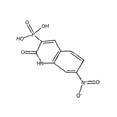 O=c1[nH]c2cc([N+](=O)[O-])ccc2cc1P(=O)(O)O